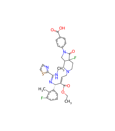 CCOC(=O)/C(=C\CN1CCC2(F)C(=O)N(c3ccc(C(=O)O)cc3)CC2C1)[C@@H](/N=C(\NC)c1nccs1)c1cccc(F)c1C